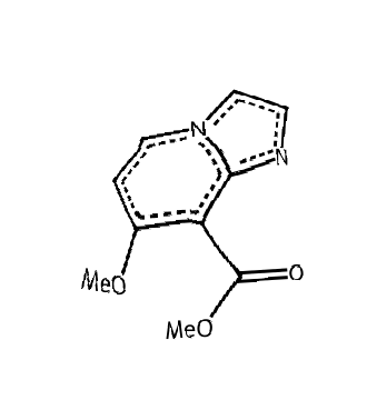 COC(=O)c1c(OC)ccn2ccnc12